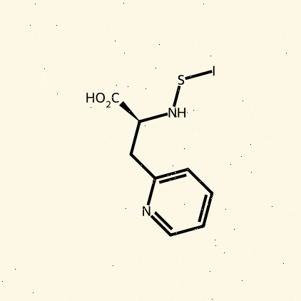 O=C(O)[C@H](Cc1ccccn1)NSI